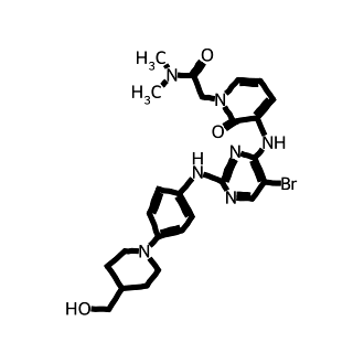 CN(C)C(=O)Cn1cccc(Nc2nc(Nc3ccc(N4CCC(CO)CC4)cc3)ncc2Br)c1=O